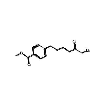 COC(=O)c1ccc(CCCCC(=O)CBr)cc1